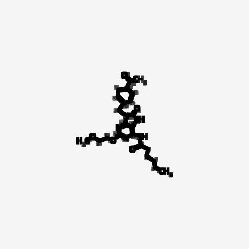 CCCCCC(=O)Nc1nc(OCCOC)nc2c1[nH]c(=O)n2Cc1ccc(C(C)=O)cc1